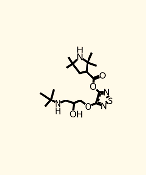 CC(C)(C)NCC(O)COc1nsnc1OC(=O)C1CC(C)(C)NC1(C)C